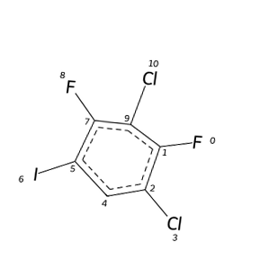 Fc1c(Cl)cc(I)c(F)c1Cl